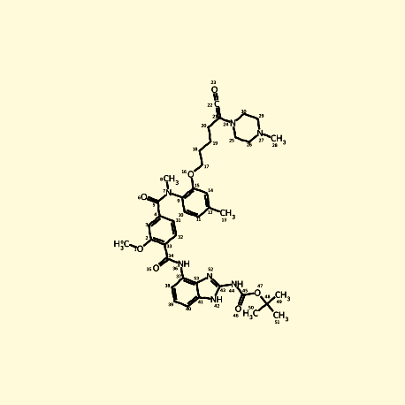 COc1cc(C(=O)N(C)c2ccc(C)cc2OCCCCC(=C=O)N2CCN(C)CC2)ccc1C(=O)Nc1cccc2[nH]c(NC(=O)OC(C)(C)C)nc12